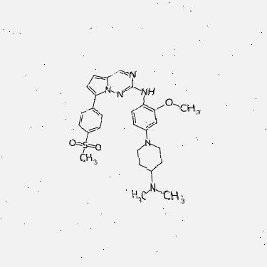 COc1cc(N2CCC(N(C)C)CC2)ccc1Nc1ncc2ccc(-c3ccc(S(C)(=O)=O)cc3)n2n1